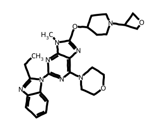 CCc1nc2ccccc2n1-c1nc(N2CCOCC2)c2nc(OC3CCN(C4COC4)CC3)n(C)c2n1